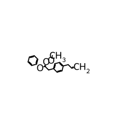 C=CCc1ccc(CC(=O)Oc2ccccc2)c(OC)c1